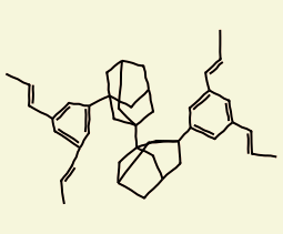 CC=Cc1cc(C=CC)cc(C23CC4CC(C2)CC(C25CC6CC(CC(c7cc(C=CC)cc(C=CC)c7)(C6)C2)C5)(C4)C3)c1